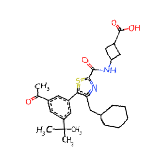 CC(=O)c1cc(-c2sc(C(=O)NC3CC(C(=O)O)C3)nc2CC2CCCCC2)cc(C(C)(C)C)c1